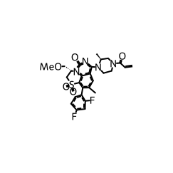 C=CC(=O)N1CCN(c2nc(=O)n3c4c(c(-c5ccc(F)cc5F)c(C)cc24)S(=O)(=O)C[C@@H]3COC)[C@@H](C)C1